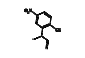 [CH2]C(C=C)c1cc([N+](=O)[O-])ccc1C#N